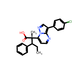 CCC(c1ccccc1)[C@](C)(C(=O)O)c1ccnc2c(-c3ccc(Cl)cc3)cnn12